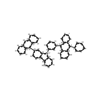 c1ccc(-c2c3ccccc3c(-c3cccc(-n4c5cc(-c6c7ccccc7cc7ccccc67)ccc5c5ncccc54)c3)c3ccccc23)cc1